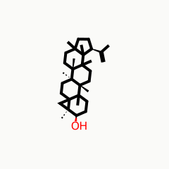 C=C(C)[C@@H]1CCC2(C)CC[C@]3(C)C(C)(CC[C@]4(C)C5(C)CC[C@@H](O)[C@@]6(C)CC56CC[C@@]34C)C12C